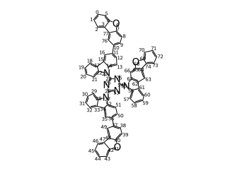 c1ccc2c(c1)oc1ccc(-c3ccc4c(c3)c3ccccc3n4-c3nc(-n4c5ccccc5c5cc(-c6ccc7oc8ccccc8c7c6)ccc54)nc(-n4c5ccccc5c5cc6c(cc54)oc4ccccc46)n3)cc12